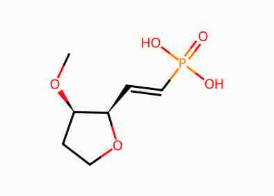 CO[C@@H]1CCO[C@@H]1/C=C/P(=O)(O)O